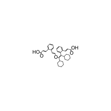 O=C(O)C=Cc1ccccc1C=COC(=C(c1ccccc1C=CC(=O)O)C1CCCCC1)C1CCCCC1